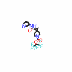 O=C(Nc1cccnc1)[C@@H]1CC12CCN(C(=O)OC(C(F)(F)F)C(F)(F)F)CC2